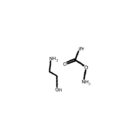 CC(C)C(=O)ON.NCCO